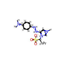 CCCC([n+]1cn(C)cc1N=Nc1ccc(N(C)C)cc1)S(=O)(=O)[O-]